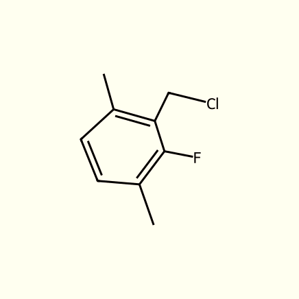 Cc1ccc(C)c(CCl)c1F